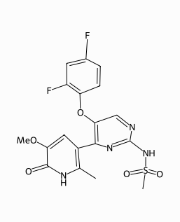 COc1cc(-c2nc(NS(C)(=O)=O)ncc2Oc2ccc(F)cc2F)c(C)[nH]c1=O